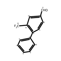 O=Cc1ccc(-c2ccccc2)c(C(F)(F)F)c1